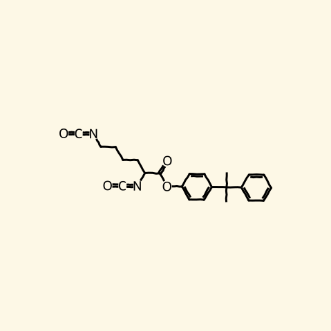 CC(C)(c1ccccc1)c1ccc(OC(=O)C(CCCCN=C=O)N=C=O)cc1